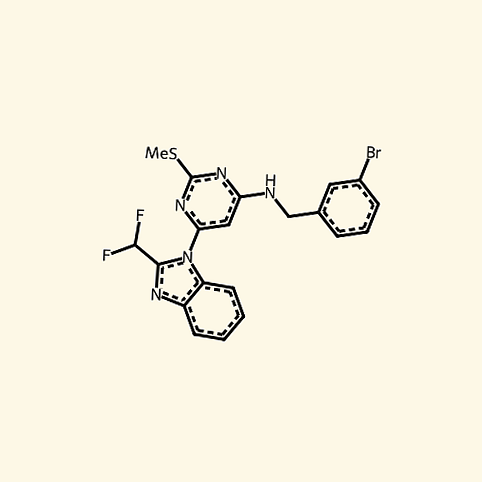 CSc1nc(NCc2cccc(Br)c2)cc(-n2c(C(F)F)nc3ccccc32)n1